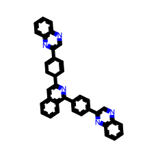 C1=CC(c2cc3ccccc3c(-c3ccc(-c4cnc5ccccc5n4)cc3)n2)CC=C1c1cnc2ccccc2n1